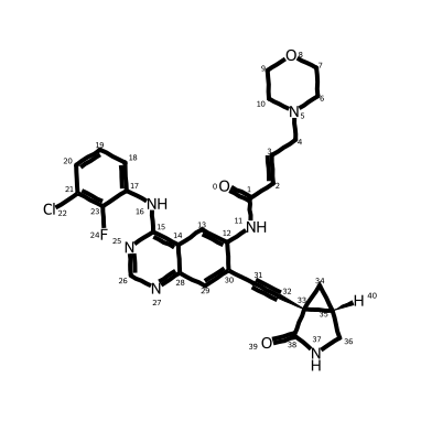 O=C(/C=C/CN1CCOCC1)Nc1cc2c(Nc3cccc(Cl)c3F)ncnc2cc1C#C[C@@]12C[C@@H]1CNC2=O